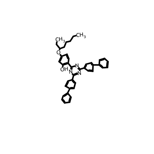 CCCCCC(CC)Oc1ccc(-c2nc(-c3ccc(-c4ccccc4)cc3)nc(-c3ccc(-c4ccccc4)cc3)n2)c(O)c1